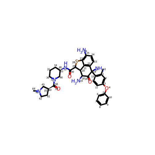 Cc1cc(Oc2ccccc2)ccc1C1(N)C(=O)C(N)C2c3c1ccc(N)c3SC2C(=O)N[C@@H]1CCCN(C(=O)[C@H]2CCN(C)C2)C1